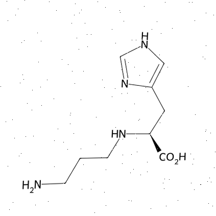 NCCCN[C@@H](Cc1c[nH]cn1)C(=O)O